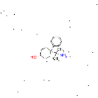 CC(C)(N)[C@]1(c2ccccc2)CC[C@@H](O)CC1